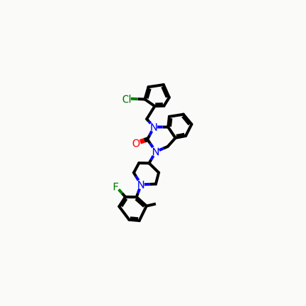 Cc1cccc(F)c1N1CCC(N2Cc3ccccc3N(Cc3ccccc3Cl)C2=O)CC1